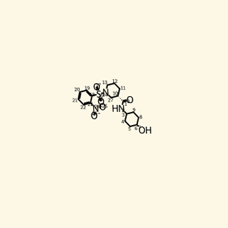 O=C(NC1CCC(O)CC1)[C@H]1CCCN(S(=O)(=O)c2ccccc2[N+](=O)[O-])C1